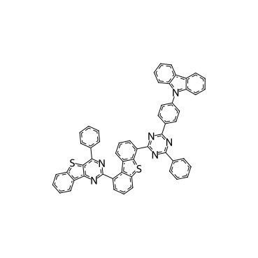 c1ccc(-c2nc(-c3ccc(-n4c5ccccc5c5ccccc54)cc3)nc(-c3cccc4c3sc3cccc(-c5nc(-c6ccccc6)c6sc7ccccc7c6n5)c34)n2)cc1